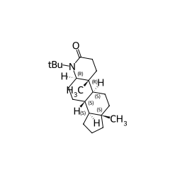 CC(C)(C)N1C(=O)CC[C@]2(C)[C@H]3CC[C@]4(C)CCC[C@H]4[C@@H]3CC[C@@H]12